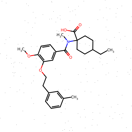 CCC1CCC(C(=O)O)(N(C)C(=O)c2ccc(OC)c(OCCc3cccc(C)c3)c2)CC1